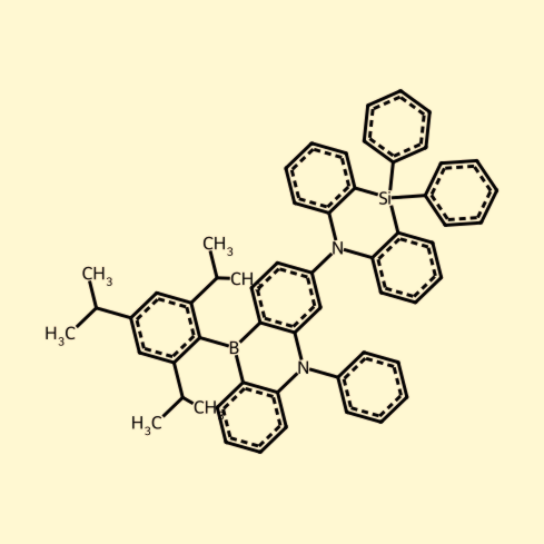 CC(C)c1cc(C(C)C)c(B2c3ccccc3N(c3ccccc3)c3cc(N4c5ccccc5[Si](c5ccccc5)(c5ccccc5)c5ccccc54)ccc32)c(C(C)C)c1